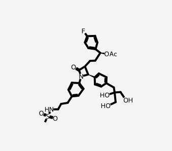 CC(=O)O[C@@H](CCC1C(=O)N(c2ccc(CCCNS(C)(=O)=O)cc2)[C@@H]1c1ccc(CC(O)(CO)CO)cc1)c1ccc(F)cc1